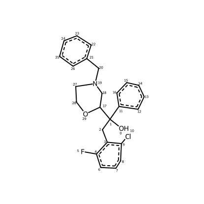 OC(Cc1c(F)cccc1Cl)(c1ccccc1)C1CN(Cc2ccccc2)CCO1